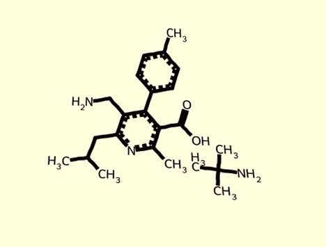 CC(C)(C)N.Cc1ccc(-c2c(CN)c(CC(C)C)nc(C)c2C(=O)O)cc1